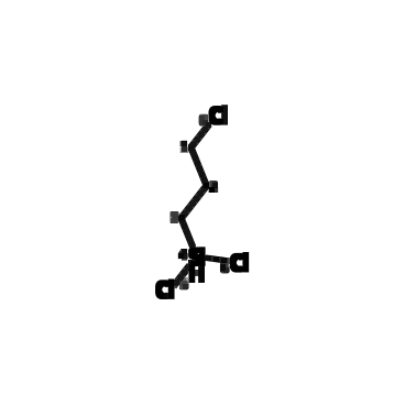 ClCCC[SiH](Cl)Cl